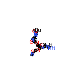 Cc1cc(N(C)C(=O)C2(C(C(=O)O)c3cccc(OC4CCC(C(=O)N(C)c5ccc(CN6CCN(C(=O)OC(C)(C)C)[C@@H](C)C6)c(C)c5)CC4)c3)CCC(Oc3cccc(CC(=O)N4CCCC4)c3)CC2)ccc1CN1CCN[C@@H](C)C1